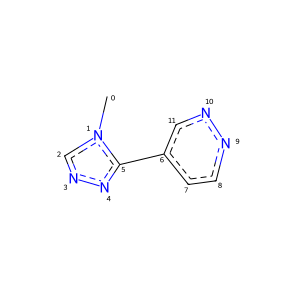 Cn1cnnc1-c1ccnnc1